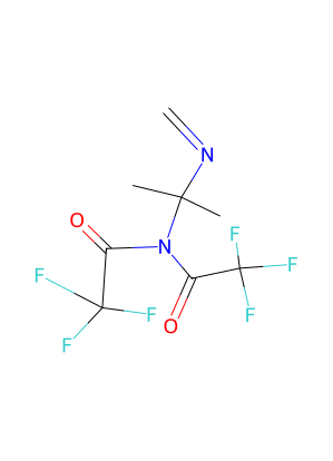 C=NC(C)(C)N(C(=O)C(F)(F)F)C(=O)C(F)(F)F